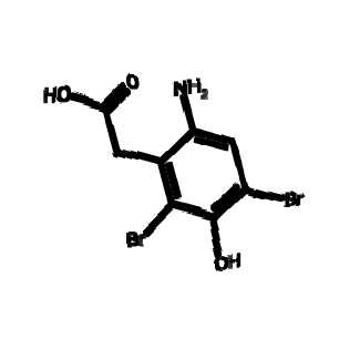 Nc1cc(Br)c(O)c(Br)c1CC(=O)O